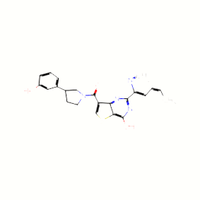 C=N/C(=C\C=C/C)c1nc(O)c2scc(C(=O)N3CCC(c4cccc(O)c4)C3)c2n1